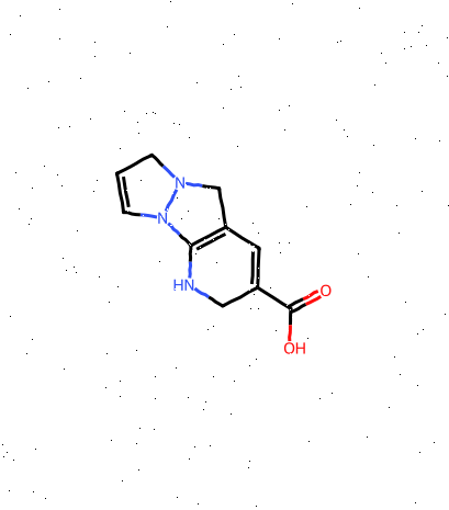 O=C(O)C1=CC2=C(NC1)N1C=CCN1C2